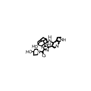 O=C(c1noc(-c2cnc3[nH]ccc3c2N[C@H]2C3CC4CC2C[C@@](O)(C4)C3)n1)N1CCC(O)CC1